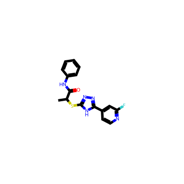 CC(Sc1nnc(-c2ccnc(F)c2)[nH]1)C(=O)Nc1ccccc1